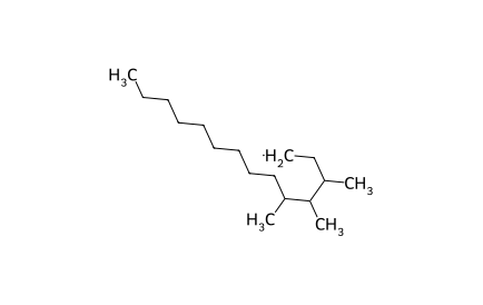 [CH2]CC(C)C(C)C(C)CCCCCCCCC